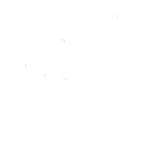 CCOC(=O)CN1C(=O)C(NC(=O)Cc2ccccc2)C(C)(C)SC1=S